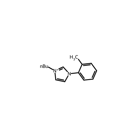 CCCC[n+]1ccn(-c2ccccc2C)c1